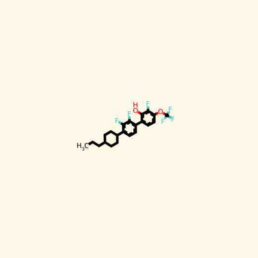 CCCC1CCC(c2ccc(-c3ccc(OC(F)(F)F)c(F)c3O)c(F)c2F)CC1